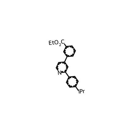 CCOC(=O)c1cccc(-c2ccnc(-c3ccc(C(C)C)cc3)c2)c1